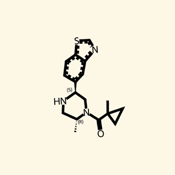 C[C@@H]1CN[C@@H](c2ccc3scnc3c2)CN1C(=O)C1(C)CC1